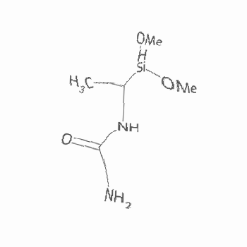 CO[SiH](OC)C(C)NC(N)=O